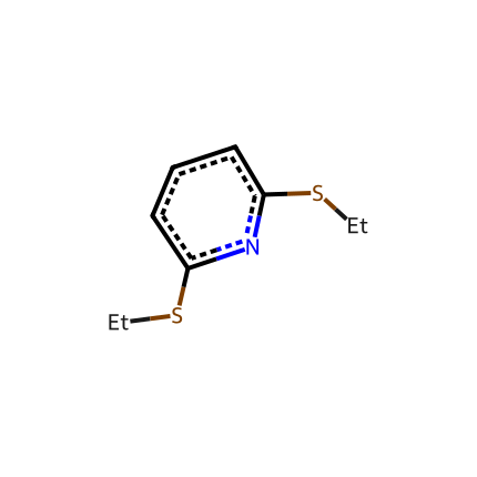 CCSc1cccc(SCC)n1